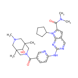 CN1CC2(C)CN(C(=O)c3ccc(Nc4ncc5cc(C(=O)N(C)C)n(C6CCCC6)c5n4)nc3)CC(C)(C1)C2O